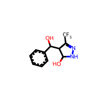 OC1NN=C(C(F)(F)F)C1C(O)c1ccccc1